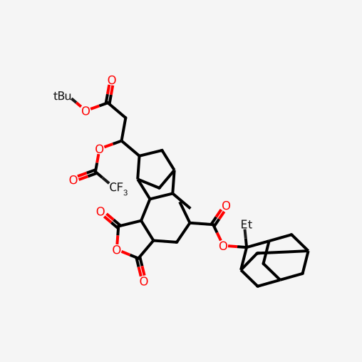 CCC1(OC(=O)C(C)CC2C(=O)OC(=O)C2C2C(C)C3CC(C(CC(=O)OC(C)(C)C)OC(=O)C(F)(F)F)C2C3)C2CC3CC(C2)CC1C3